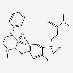 C[C@H]1CC[C@H](c2ccccc2)S(=O)(=O)N1Cc1cc(F)c(C2(CCC(=O)N(C)C)CC2)cc1F